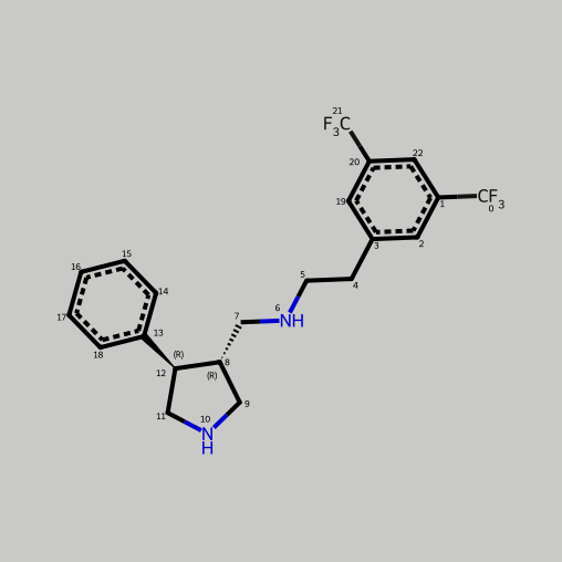 FC(F)(F)c1cc(CCNC[C@@H]2CNC[C@H]2c2ccccc2)cc(C(F)(F)F)c1